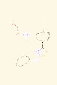 COc1ccc(-c2cs/c(=N/c3ccccc3)n2CCCNC(=O)CO)cc1